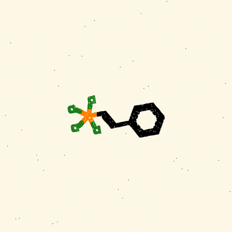 ClP(Cl)(Cl)(Cl)C=Cc1ccccc1